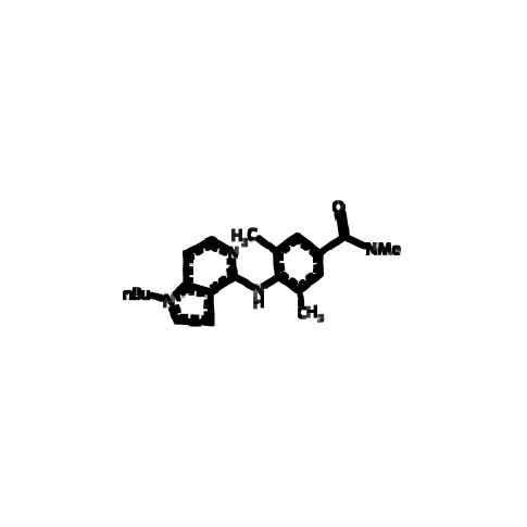 CCCCn1ccc2c(Nc3c(C)cc(C(=O)NC)cc3C)nccc21